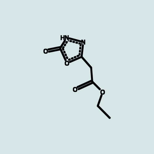 CCOC(=O)Cc1n[nH]c(=O)o1